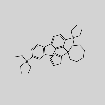 CC[Si](CC)(CC)c1ccc2c(c1)Cc1c-2ccc([Si](CC)(CC)CC)c1C1(C2=CC=CC2)CCCCCC1